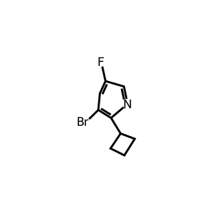 Fc1cnc(C2CCC2)c(Br)c1